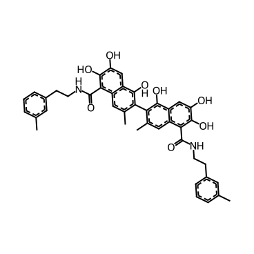 Cc1cccc(CCNC(=O)c2c(O)c(O)cc3c(O)c(-c4c(C)cc5c(C(=O)NCCc6cccc(C)c6)c(O)c(O)cc5c4O)c(C)cc23)c1